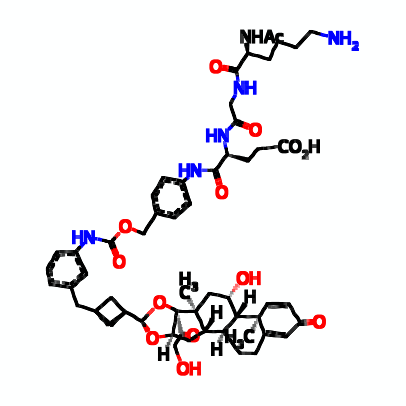 CC(=O)N[C@@H](CCCCN)C(=O)NCC(=O)N[C@@H](CCC(=O)O)C(=O)Nc1ccc(COC(=O)Nc2cccc(CC34CC([C@@H]5O[C@@H]6C[C@H]7[C@@H]8CCC9=CC(=O)C=C[C@]9(C)[C@H]8[C@@H](O)C[C@]7(C)[C@]6(C(=O)CO)O5)(C3)C4)c2)cc1